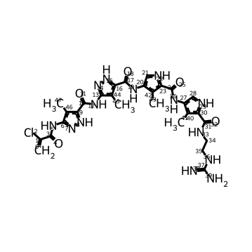 C=C(Cl)C(=O)Nc1n[nH]c(C(=O)Nc2n[nH]c(C(=O)Nc3c[nH]c(C(=O)Nc4c[nH]c(C(=O)NCCNC(=N)N)c4C)c3C)c2C)c1C